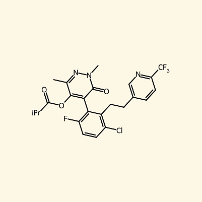 Cc1nn(C)c(=O)c(-c2c(F)ccc(Cl)c2CCc2ccc(C(F)(F)F)nc2)c1OC(=O)C(C)C